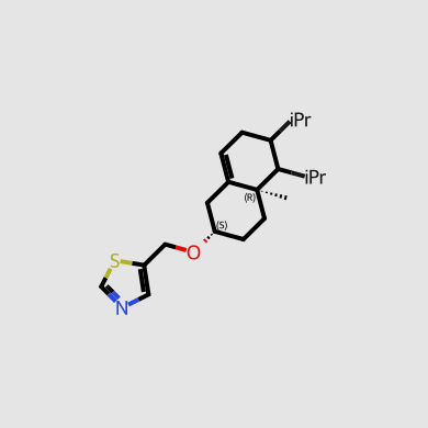 CC(C)C1CC=C2C[C@@H](OCc3cncs3)CC[C@]2(C)C1C(C)C